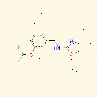 FC(F)Oc1cccc(CNC2=NCCO2)c1